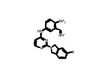 N=Cc1cc(Nc2ccnc(N3Cc4ccc(F)cc4C3)n2)ccc1N